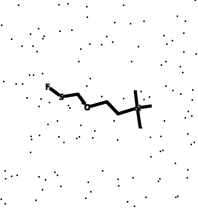 C[Si](C)(C)CCOCSF